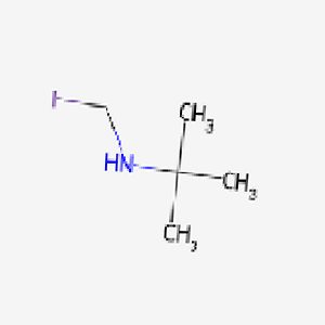 CC(C)(C)NCI